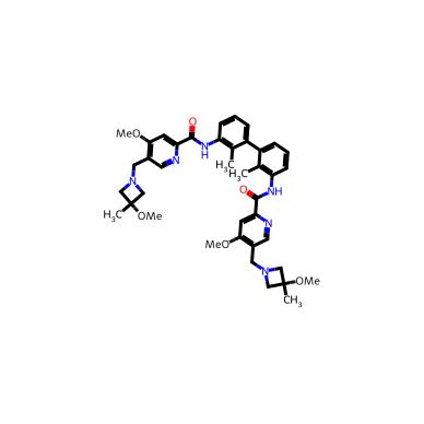 COc1cc(C(=O)Nc2cccc(-c3cccc(NC(=O)c4cc(OC)c(CN5CC(C)(OC)C5)cn4)c3C)c2C)ncc1CN1CC(C)(OC)C1